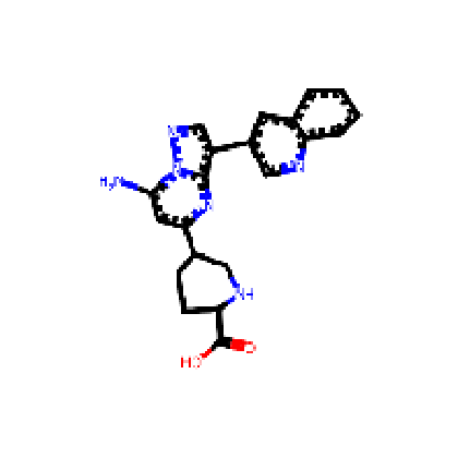 Nc1cc(C2CCC(C(=O)O)NC2)nc2c(-c3cnc4ccccc4c3)cnn12